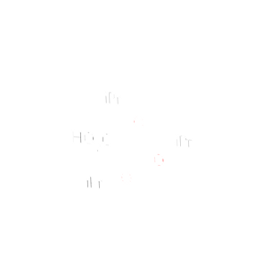 CC(C)OC(OC(C)C)(OC(C)C)C(=O)O